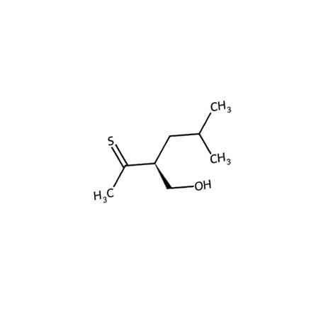 CC(=S)[C@H](CO)CC(C)C